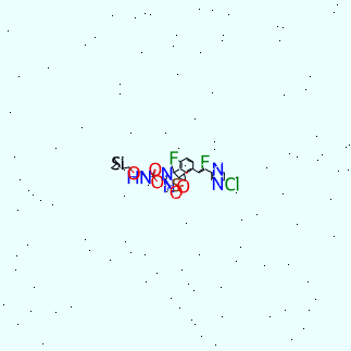 CN1C(OC(=O)NCOCC[Si](C)(C)C)=NC(C)(c2cc(C=C(F)c3cnc(Cl)cn3)ccc2F)C2(CC2)S1(=O)=O